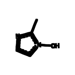 Cc1nccn1O